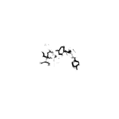 C=C[C@@]1(C(C)C)CC(=O)N(Cc2ccc(C(=O)NCc3ccc(C)cc3)cc2)C(=N)N1